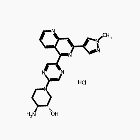 Cl.Cn1cc(-c2cc3ncccc3c(-c3cnc(N4CC[C@H](N)[C@@H](O)C4)cn3)n2)cn1